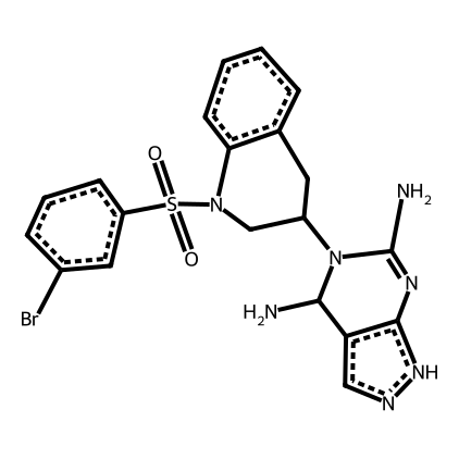 NC1=Nc2[nH]ncc2C(N)N1C1Cc2ccccc2N(S(=O)(=O)c2cccc(Br)c2)C1